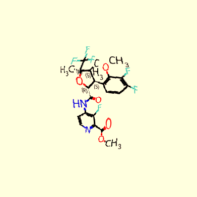 COC(=O)c1nccc(NC(=O)[C@@H]2O[C@@](C)(C(F)(F)F)[C@@H](C)[C@H]2c2ccc(F)c(F)c2OC)c1F